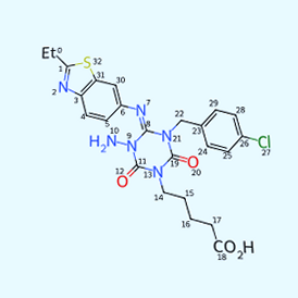 CCc1nc2ccc(/N=c3\n(N)c(=O)n(CCCCC(=O)O)c(=O)n3Cc3ccc(Cl)cc3)cc2s1